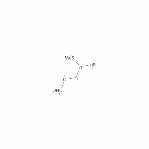 CCCC(CO[C]=O)SC